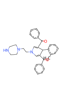 Cc1ccccc1C1C(C(=O)c2ccccc2)=CN(CCN2CCNCC2)C=C1C(=O)c1ccccc1